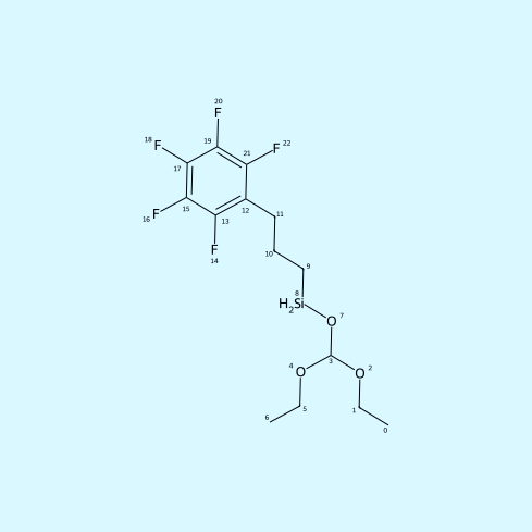 CCOC(OCC)O[SiH2]CCCc1c(F)c(F)c(F)c(F)c1F